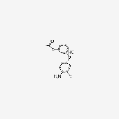 CC(=O)Oc1cccc(Oc2ccc(N)c(F)c2)c1.Cl